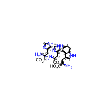 NC(Cc1c[nH]c2ccccc12)C(=O)O.NC(Cc1c[nH]cn1)C(=O)O.NC(Cc1c[nH]cn1)C(=O)O